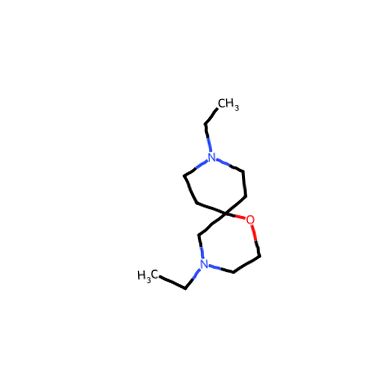 CCN1CCC2(CC1)CN(CC)CCO2